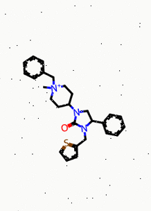 C[N+]1(Cc2ccccc2)CCC(N2CC(c3ccccc3)N(Cc3cccs3)C2=O)CC1